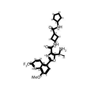 COc1ccc(-c2nc(C(=O)NC3CC(C(=O)NC4CCCC4)C3)c([C@H](C)N)o2)c2ccc(C(F)(F)F)nc12